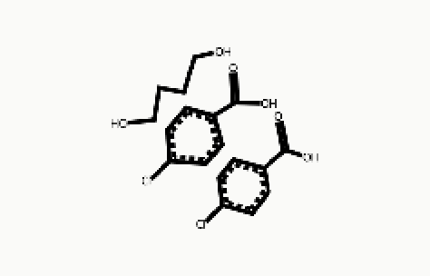 O=C(O)c1ccc(Cl)cc1.O=C(O)c1ccc(Cl)cc1.OCCCCO